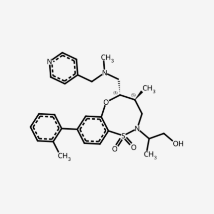 Cc1ccccc1-c1ccc2c(c1)O[C@H](CN(C)Cc1ccncc1)[C@@H](C)CN(C(C)CO)S2(=O)=O